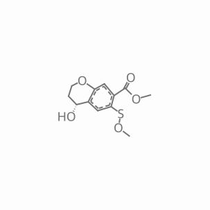 COSc1cc2c(cc1C(=O)OC)OCC[C@H]2O